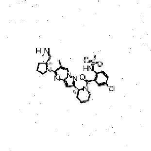 Cc1cn2nc([C@@H]3CCCCN3C(=O)c3cc(Cl)ccc3NS(C)(=O)=O)cc2nc1N1CCC[C@H]1CN